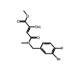 COC(=O)/C(O)=C/C(=O)N(C)Cc1ccc(F)c(Br)c1